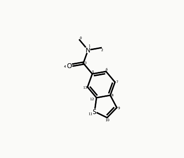 CN(C)C(=O)c1ccc2ccsc2c1